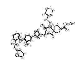 CC(C)(C)OC(=O)N1CCC2(CC1)C(=O)N(Cc1nc(-c3ccc(Oc4ccccc4S(=O)(=O)CC4CCCO4)c(C(F)(F)F)c3)no1)C(=O)N2CCC1CCOCC1